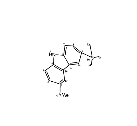 CSc1ccc2[nH]c3ccc(S(C)(C)C)cc3c2c1